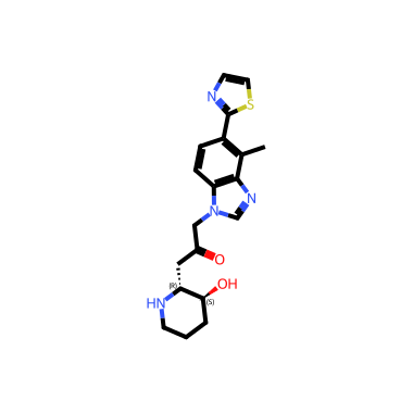 Cc1c(-c2nccs2)ccc2c1ncn2CC(=O)C[C@H]1NCCC[C@@H]1O